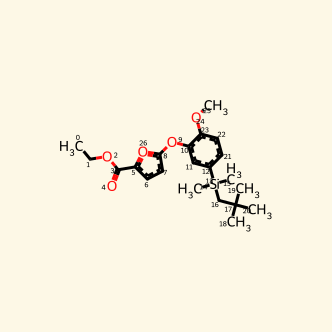 CCOC(=O)c1ccc(Oc2cc([Si](C)(C)CC(C)(C)C)ccc2OC)o1